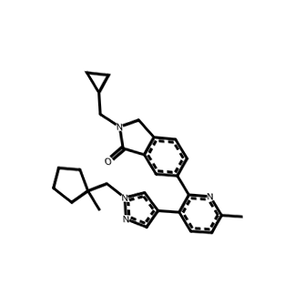 Cc1ccc(-c2cnn(CC3(C)CCCC3)c2)c(-c2ccc3c(c2)C(=O)N(CC2CC2)C3)n1